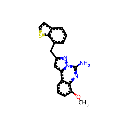 COc1cccc2c1nc(N)n1nc(Cc3cccc4ccsc34)cc21